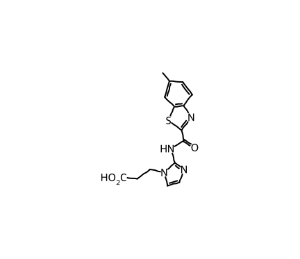 Cc1ccc2nc(C(=O)Nc3nccn3CCC(=O)O)sc2c1